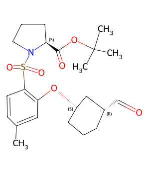 Cc1ccc(S(=O)(=O)N2CCC[C@H]2C(=O)OC(C)(C)C)c(O[C@H]2CCC[C@@H](C=O)C2)c1